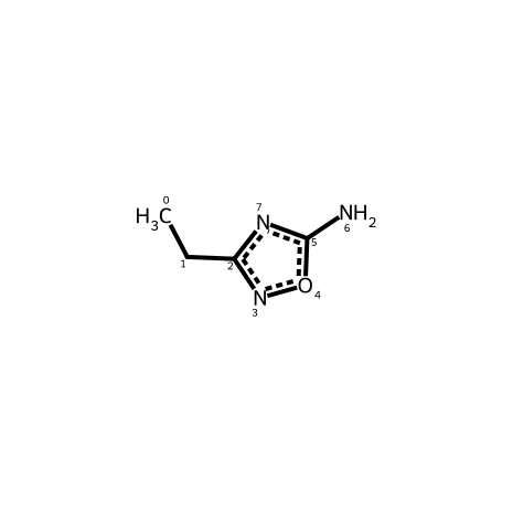 CCc1noc(N)n1